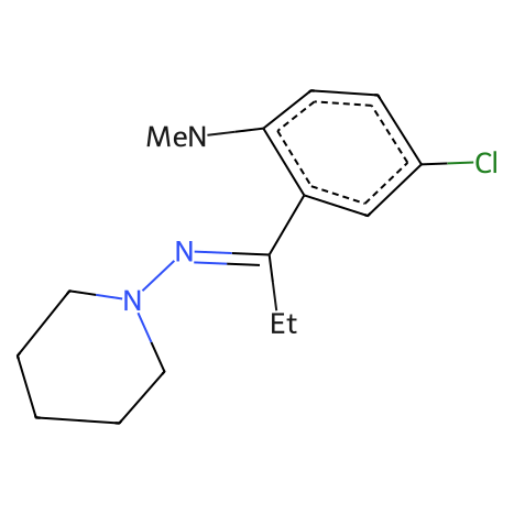 CC/C(=N\N1CCCCC1)c1cc(Cl)ccc1NC